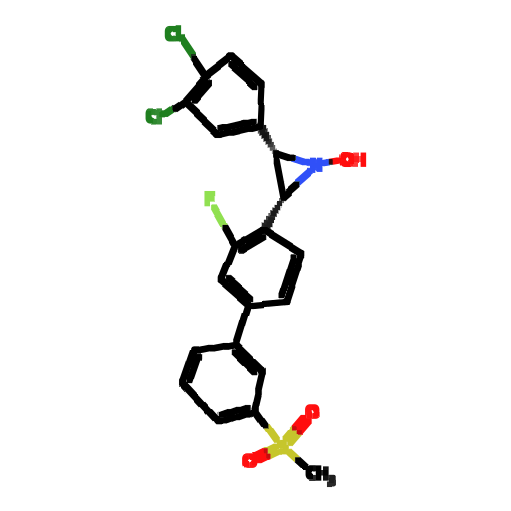 CS(=O)(=O)c1cccc(-c2ccc([C@@H]3[C@H](c4ccc(Cl)c(Cl)c4)N3O)c(F)c2)c1